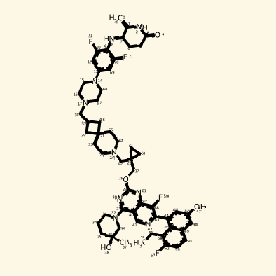 C=C1NC(=O)CCC1Nc1c(F)cc(N2CCN(CC3CC4(CCN(CC5(COc6nc(N7CCC[C@@](C)(O)C7)c7cnc(-c8cc(O)cc9ccc(F)c(CC)c89)c(F)c7n6)CC5)CC4)C3)CC2)cc1F